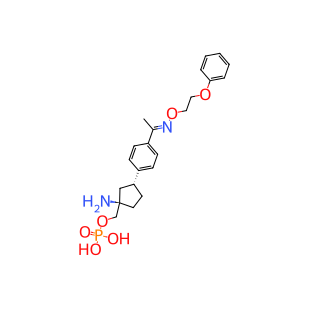 C/C(=N\OCCOc1ccccc1)c1ccc([C@@H]2CC[C@](N)(COP(=O)(O)O)C2)cc1